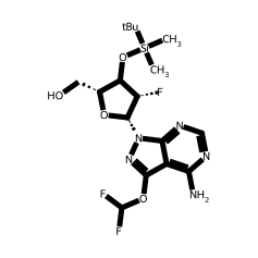 CC(C)(C)[Si](C)(C)OC1[C@@H](CO)O[C@@H](n2nc(OC(F)F)c3c(N)ncnc32)[C@H]1F